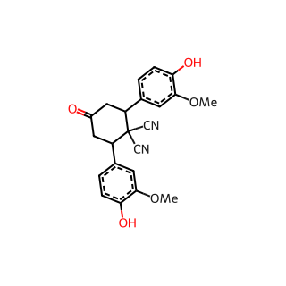 COc1cc(C2CC(=O)CC(c3ccc(O)c(OC)c3)C2(C#N)C#N)ccc1O